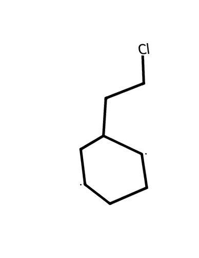 ClCCC1[CH]CC[CH]C1